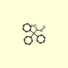 O=NN(O)C(c1ccccc1)(c1ccccc1)c1ccccc1